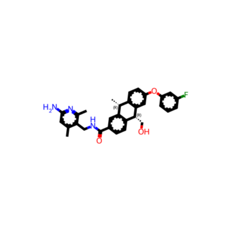 Cc1cc(N)nc(C)c1CNC(=O)c1ccc2c(c1)[C@H](C)c1ccc(Oc3cccc(F)c3)cc1[C@@H]2CO